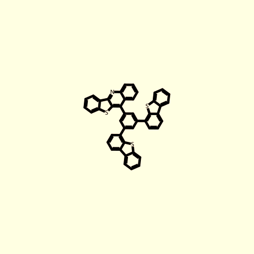 c1ccc2c(-c3cc(-c4cccc5c4sc4ccccc45)cc(-c4cccc5c4sc4ccccc45)c3)c3sc4ccccc4c3nc2c1